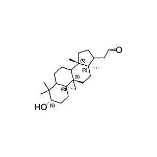 CC1(C)C2CCC3[C@]4(CC[C@]5(C)C(CC=O)CC[C@@]35C)C[C@]24CC[C@@H]1O